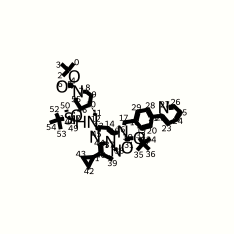 CC(C)(C)OC(=O)N1CC[C@H](CNc2cc(N(Cc3ccc(-c4ccccn4)cc3)C(=O)OC(C)(C)C)n3ncc(C4CC4)c3n2)[C@@H](O[Si](C)(C)C(C)(C)C)C1